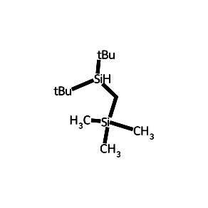 CC(C)(C)[SiH](C[Si](C)(C)C)C(C)(C)C